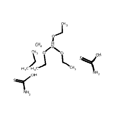 C.CCC.CCO[SiH](OCC)OCC.NC(O)=S.NC(O)=S